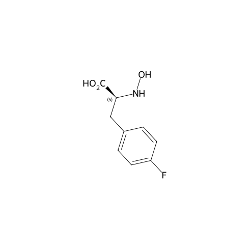 O=C(O)[C@H](Cc1ccc(F)cc1)NO